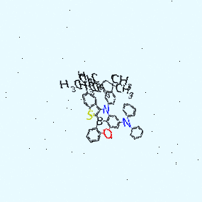 CC(C)(C)c1ccc2sc3c(c2c1)N(c1ccc2c(c1)C(C)(C)CC2(C)C)c1cc(N(c2ccccc2)c2ccccc2)cc2c1B3c1ccccc1O2